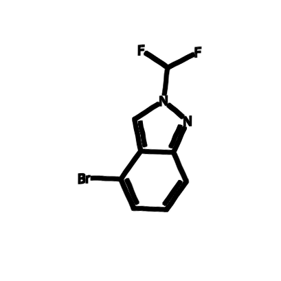 FC(F)n1cc2c(Br)cccc2n1